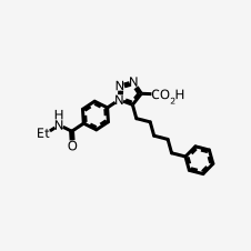 CCNC(=O)c1ccc(-n2nnc(C(=O)O)c2CCCCCc2ccccc2)cc1